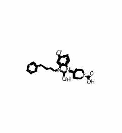 O=C(O)N1CCC(N2c3ccc(Cl)cc3N(CCCCc3ccccc3)C2O)CC1